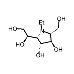 CCN1[C@@H]([C@@H](O)CO)[C@@H](O)[C@H](O)[C@H]1CO